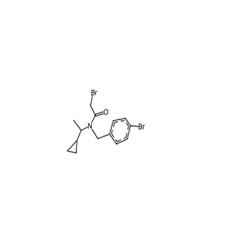 CC(C1CC1)N(Cc1ccc(Br)cc1)C(=O)CBr